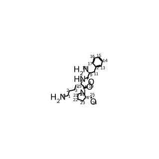 NCCCC[C@H](NC(=O)[C@@H](N)Cc1ccccc1)C(=O)N1CCC[C@H]1[C]=O